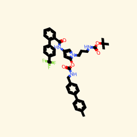 Cc1ccc(-c2ccc(CNC(=O)Oc3cc(NC(=O)c4ccccc4-c4ccc(C(F)(F)F)cc4)cn3CCCNC(=O)OC(C)(C)C)cc2)cc1